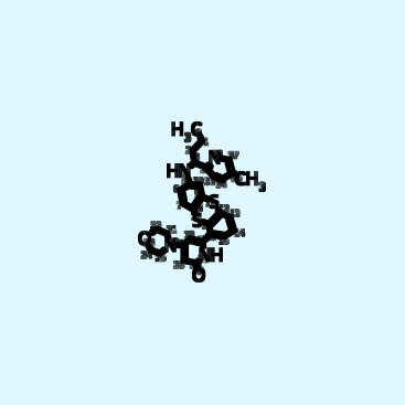 CCCC(Nc1ccc2c(c1)Sc1cccc(-c3cc(N4CCOCC4)cc(=O)[nH]3)c1S2)c1ccc(C)cn1